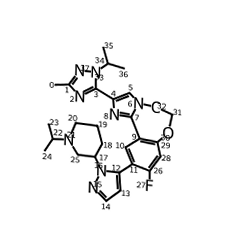 Cc1nc(-c2cn3c(n2)-c2cc(-c4ccnn4C4CCCN(C(C)C)C4)c(F)cc2OCC3)n(C(C)C)n1